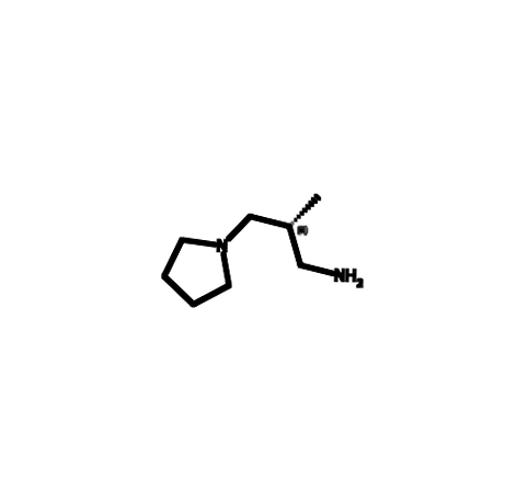 C[C@H](CN)CN1CCCC1